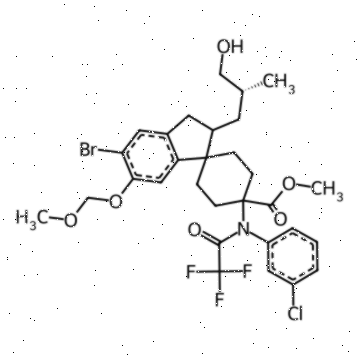 COCOc1cc2c(cc1Br)CC(C[C@@H](C)CO)C21CCC(C(=O)OC)(N(C(=O)C(F)(F)F)c2cccc(Cl)c2)CC1